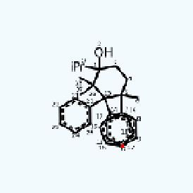 CC(C)C1(O)CCC(C)(c2ccccc2)C(c2ccccc2)(c2ccccc2)C1(C)C